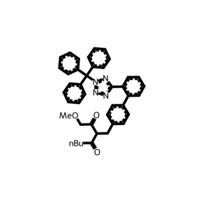 CCCCC(=O)C(Cc1ccc(-c2ccccc2-c2nnn(C(c3ccccc3)(c3ccccc3)c3ccccc3)n2)cc1)C(=O)COC